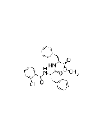 COC(=O)[C@H](Cc1ccccc1)NC(=O)[C@H](Cc1ccccc1)NC(=O)c1ccccc1Cl